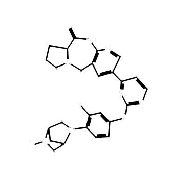 Cc1cc(Nc2nccc(-c3cnc4c(c3)CN3CCCC3C(=O)N4)n2)ccc1N1CC2CC1CN2C